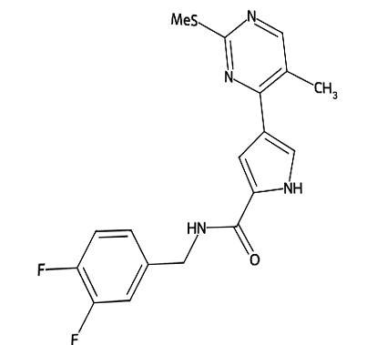 CSc1ncc(C)c(-c2c[nH]c(C(=O)NCc3ccc(F)c(F)c3)c2)n1